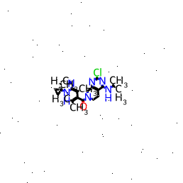 C=N/C(NC1(C)CC1)=C(\C)C(C(=O)N1CCc2c(nc(Cl)nc2NC(C)C)C1)=C(C)C